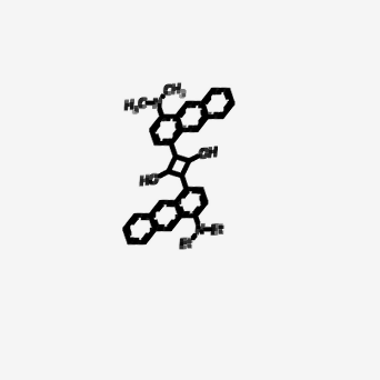 CCN(CC)c1ccc(C2C(O)C(c3ccc(N(C)C)c4cc5ccccc5cc34)C2O)c2cc3ccccc3cc12